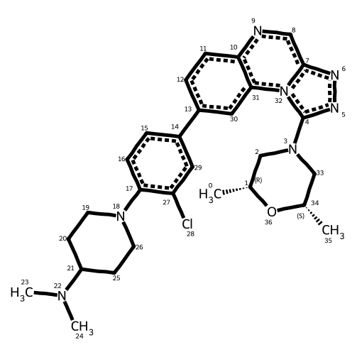 C[C@@H]1CN(c2nnc3cnc4ccc(-c5ccc(N6CCC(N(C)C)CC6)c(Cl)c5)cc4n23)C[C@H](C)O1